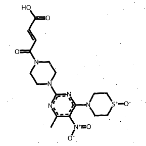 Cc1nc(N2CCN(C(=O)C=CC(=O)O)CC2)nc(N2CC[S+]([O-])CC2)c1[N+](=O)[O-]